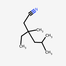 CCC(C)(CC#N)CC(C)C